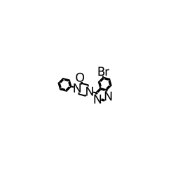 O=C1CN(c2ncnc3ccc(Br)cc23)CCN1c1ccccc1